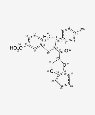 C[C@H](c1ccc(F)cc1)N(Cc1cccc(C(=O)O)c1)C(=O)C1COc2ccccc2O1